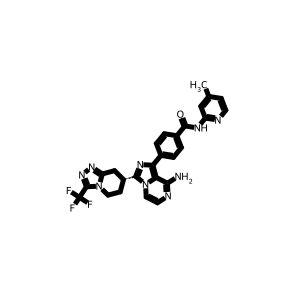 Cc1ccnc(NC(=O)c2ccc(-c3nc([C@@H]4CCn5c(nnc5C(F)(F)F)C4)n4ccnc(N)c34)cc2)c1